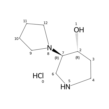 Cl.O[C@@H]1CCNC[C@H]1N1CCCC1